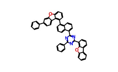 c1ccc(-c2ccc3c(c2)oc2cccc(-c4cccc5c(-c6nc(-c7ccccc7)nc(-c7cccc8c7oc7ccccc78)n6)cccc45)c23)cc1